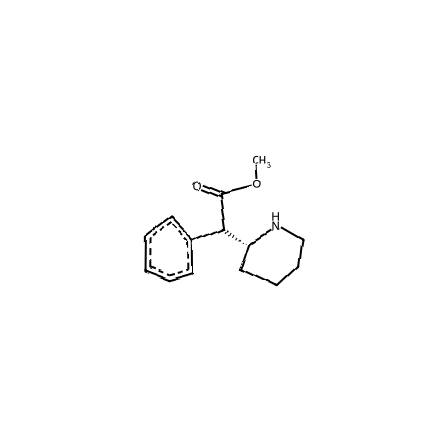 COC(=O)C(c1ccccc1)[C@H]1CCCCN1